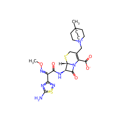 CO/N=C(\C(=O)N[C@@H]1C(=O)N2C(C(=O)[O-])=C(C[N+]34CCC(C)(CC3)CC4)CS[C@@H]12)c1nsc(N)n1